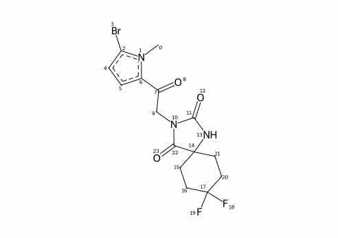 Cn1c(Br)ccc1C(=O)CN1C(=O)NC2(CCC(F)(F)CC2)C1=O